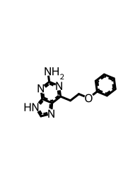 Nc1nc(CCOc2ccccc2)c2nc[nH]c2n1